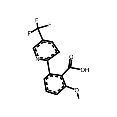 COc1cccc(-c2ccc(C(F)(F)F)cn2)c1C(=O)O